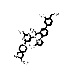 Cc1ccn(-c2ccc(-c3ccc(CO)c(C)c3)cc2[C@@H](Oc2cc(N3CCC4(CC3)CN[C@H](C(=O)O)C4)nc(N)n2)C(F)(F)F)n1